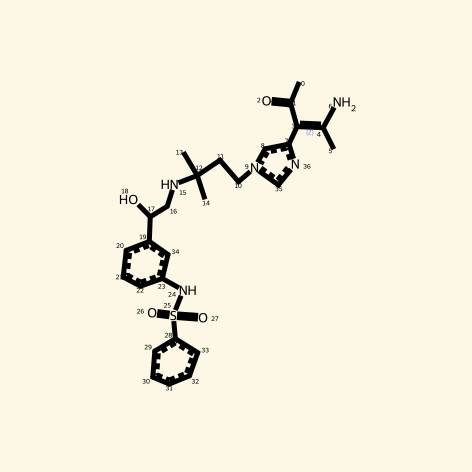 CC(=O)/C(=C(/C)N)c1cn(CCC(C)(C)NCC(O)c2cccc(NS(=O)(=O)c3ccccc3)c2)cn1